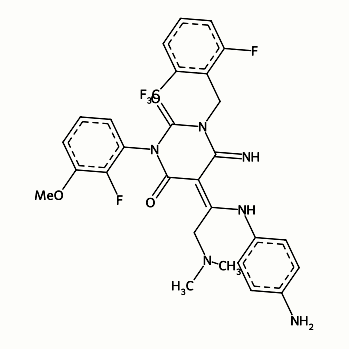 COc1cccc(N2C(=O)/C(=C(\CN(C)C)Nc3ccc(N)cc3)C(=N)N(Cc3c(F)cccc3C(F)(F)F)C2=O)c1F